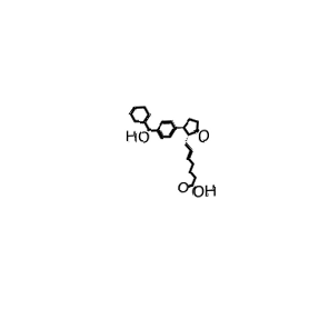 O=C(O)CCCC=CC[C@H]1C(=O)CC[C@@H]1c1ccc(C(O)C2CCCCC2)cc1